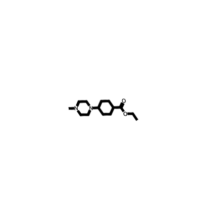 CCOC(=O)C1CCC(N2CCN(C)CC2)CC1